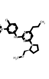 CCCc1cc(N2CCC[C@H]2COC)nc(Nc2ccc(Cl)c([N+](=O)[O-])c2)n1